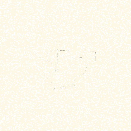 [N-]=[N+]=NCOC1CCOC1COP(=O)(O)OP(=O)(O)OP(=O)(O)O